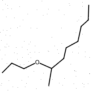 CCCCCCC(C)OCCC